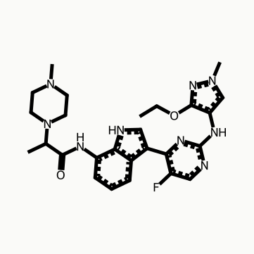 CCOc1nn(C)cc1Nc1ncc(F)c(-c2c[nH]c3c(NC(=O)C(C)N4CCN(C)CC4)cccc23)n1